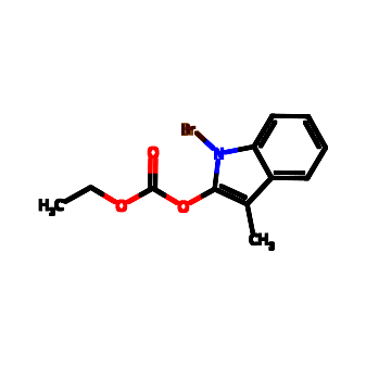 CCOC(=O)Oc1c(C)c2ccccc2n1Br